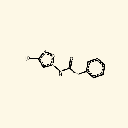 Bc1cn(BC(=O)Oc2ccccc2)nn1